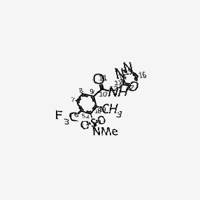 CNS(=O)(=O)c1c(C(F)(F)F)ccc(C(=O)Nc2nnco2)c1C